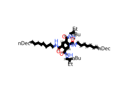 CCCCCCCCCCCCCCCCCCNC(=O)c1cc(C(=O)NCC(CC)CCCC)c(C(=O)NCCCCCCCCCCCCCCCCC)cc1C(=O)NCC(CC)CCCC